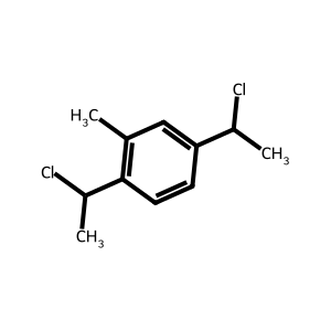 Cc1cc(C(C)Cl)ccc1C(C)Cl